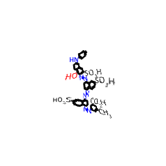 Cc1cc(/N=N\c2ccc(N=Nc3ccc(N=Nc4c(S(=O)(=O)O)cc5cc(Nc6ccccc6)ccc5c4O)c4cc(S(=O)(=O)O)ccc34)c3cc(S(=O)(=O)O)ccc23)cc(C(=O)O)c1